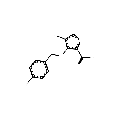 O=C(O)c1scc(Br)c1OCc1ccc(Cl)cc1